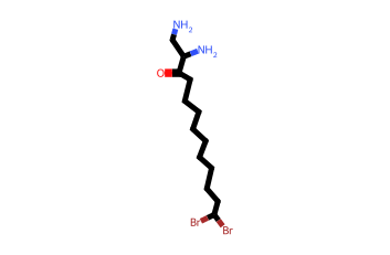 NCC(N)C(=O)CCCCCCCCCC(Br)Br